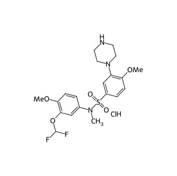 COc1ccc(N(C)S(=O)(=O)c2ccc(OC)c(N3CCNCC3)c2)cc1OC(F)F.Cl